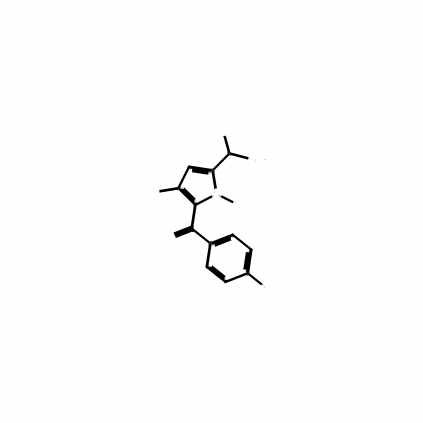 CCCCCCC(C(=O)O)c1cc(C)c(C(=O)c2ccc([N+](=O)[O-])cc2)n1C